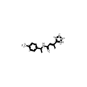 C/C(=C\C(=O)NC(C)c1ccc(C(F)(F)F)cc1)c1nnn[nH]1